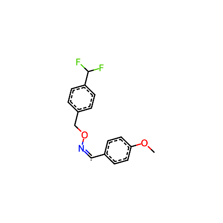 COc1ccc(/[C]=N\OCc2ccc(C(F)F)cc2)cc1